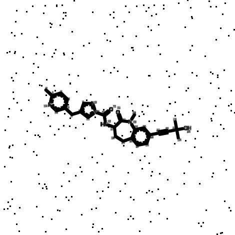 Cc1ccc(Cc2cnn(C(=O)NC3CCc4ccc(C#CC(C)(C)O)cc4N(C)C3=O)c2)cn1